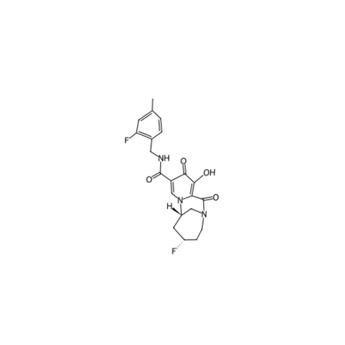 Cc1ccc(CNC(=O)c2cn3c(c(O)c2=O)C(=O)N2CC[C@H](F)C[C@H]3C2)c(F)c1